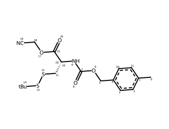 Cc1ccc(COC(=O)N[C@H](CSSC(C)(C)C)C(=O)OCC#N)cc1